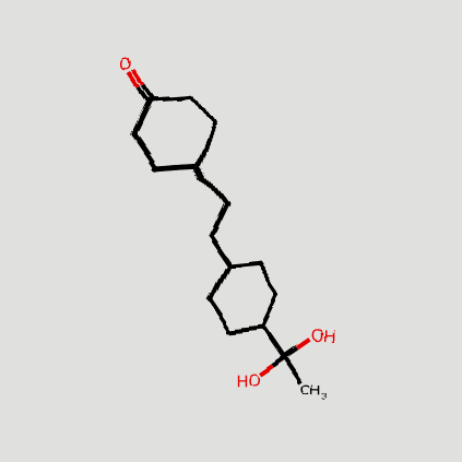 CC(O)(O)C1CCC(CCC2CCC(=O)CC2)CC1